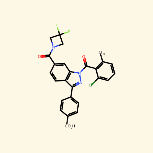 O=C(O)c1ccc(-c2nn(C(=O)c3c(Cl)cccc3C(F)(F)F)c3cc(C(=O)N4CC(F)(F)C4)ccc23)cc1